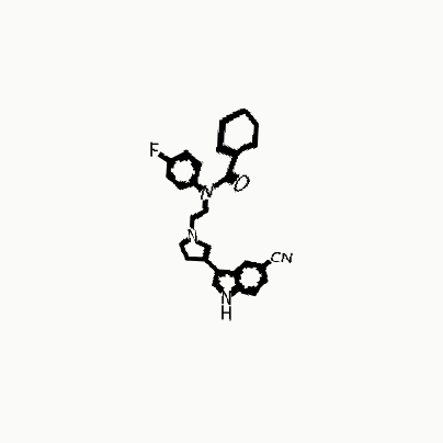 N#Cc1ccc2[nH]cc(C3CCN(CCN(C(=O)C4CCCCC4)c4ccc(F)cc4)C3)c2c1